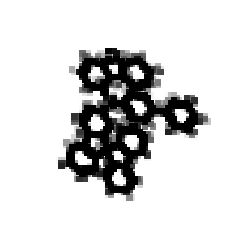 C1=CC2C3=CCCC=C3C3(C4=C(CCC=C4)C4C=CC(N(C5=CCC(c6ccccc6)C=C5)C5CC=CC6OC7=C(C=CCC7)C65)CC43)C2C=C1